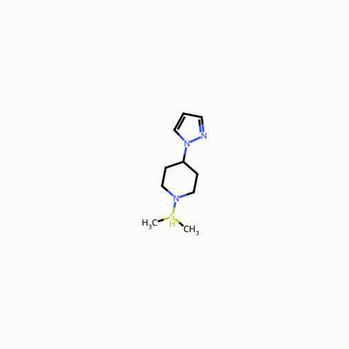 C[SH](C)N1CCC(n2cccn2)CC1